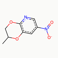 CC1COc2ncc([N+](=O)[O-])cc2O1